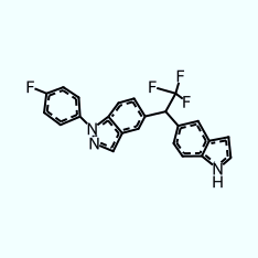 Fc1ccc(-n2ncc3cc(C(c4ccc5[nH]ccc5c4)C(F)(F)F)ccc32)cc1